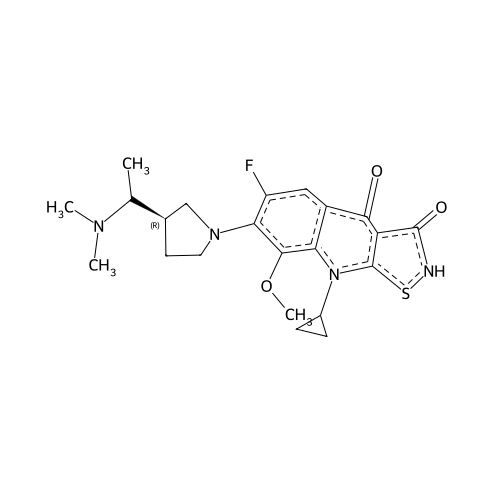 COc1c(N2CC[C@@H](C(C)N(C)C)C2)c(F)cc2c(=O)c3c(=O)[nH]sc3n(C3CC3)c12